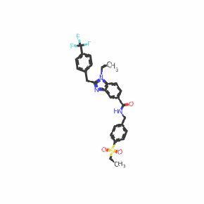 CCn1c(Cc2ccc(C(F)(F)F)cc2)nc2cc(C(=O)NCc3ccc(S(=O)(=O)CC)cc3)ccc21